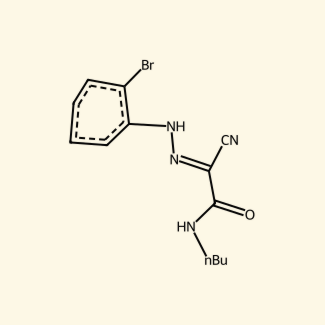 CCCCNC(=O)/C(C#N)=N/Nc1ccccc1Br